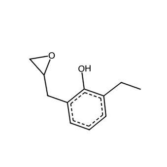 CCc1cccc(CC2CO2)c1O